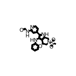 CS(=O)(=O)N1CC(=O)c2c([nH]c(-c3ccnc(NC=O)c3)c2Nc2ccccc2)C1